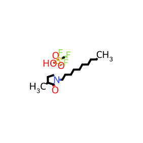 CCCCCCCCCCN1CCC(C)C1=O.O=S(=O)(O)C(F)(F)F